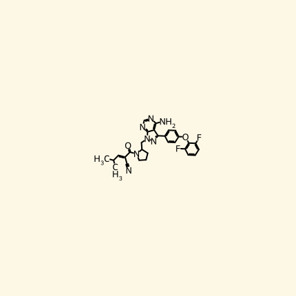 CC(C)C=C(C#N)C(=O)N1CCCC1Cn1nc(-c2ccc(Oc3c(F)cccc3F)cc2)c2c(N)ncnc21